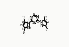 Cc1cc(C)n(-c2ncnc(-n3nc(C)cc3C)n2)n1